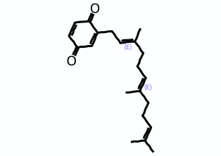 CC(C)=CCC/C(C)=C/CC/C(C)=C/CC1=CC(=O)C=CC1=O